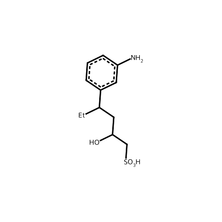 CCC(CC(O)CS(=O)(=O)O)c1cccc(N)c1